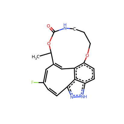 CC1OC(=O)NCCCOc2ccc3[nH]nc4c3c2C=C1C=C(F)C=C4